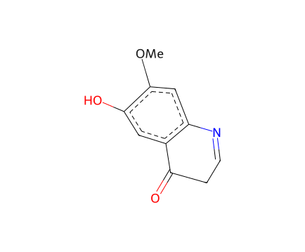 COc1cc2c(cc1O)C(=O)CC=N2